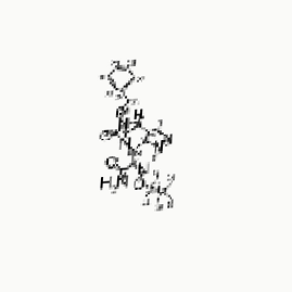 Cn1ncc2c1[C@@H](C(=NO[Si](C)(C)C(C)(C)C)C(N)=O)N1C[C@@H]2N(OCc2ccccc2)C1=O